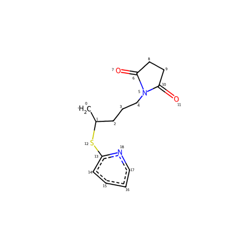 [CH2]C(CC[CH]N1C(=O)CCC1=O)Sc1ccccn1